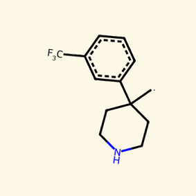 [CH2]C1(c2cccc(C(F)(F)F)c2)CCNCC1